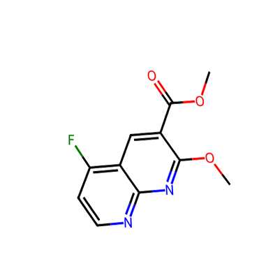 COC(=O)c1cc2c(F)ccnc2nc1OC